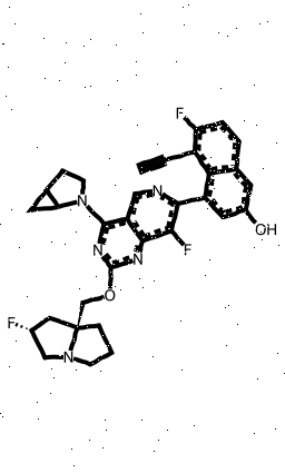 C#Cc1c(F)ccc2cc(O)cc(-c3ncc4c(N5CCC6CC65)nc(OC[C@@]56CCCN5C[C@H](F)C6)nc4c3F)c12